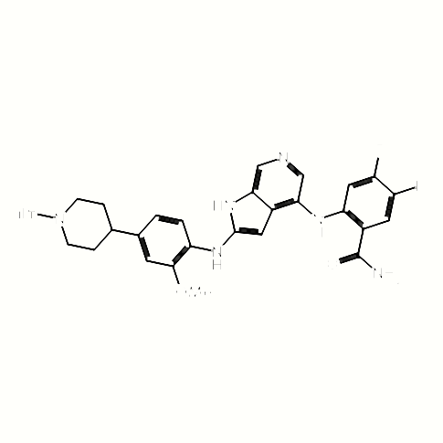 COc1cc(C2CCN(C(C)C)CC2)ccc1Nc1cc2c(Nc3cc(F)c(F)cc3C(N)=O)cncc2[nH]1